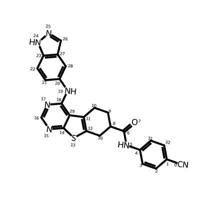 N#Cc1ccc(NC(=O)C2CCc3c(sc4ncnc(Nc5ccc6[nH]ncc6c5)c34)C2)cc1